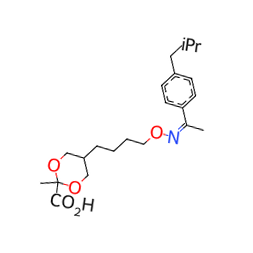 CC(=NOCCCCC1COC(C)(C(=O)O)OC1)c1ccc(CC(C)C)cc1